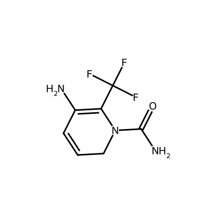 NC(=O)N1CC=CC(N)=C1C(F)(F)F